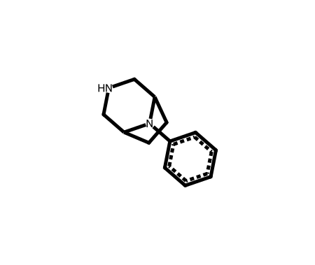 c1ccc(N2C3CCC2CNC3)cc1